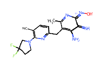 CC1=N/C(=N/O)C(=N)C(N)=C1Cc1ccc(C#N)c(N2CCC(F)(F)C2)n1